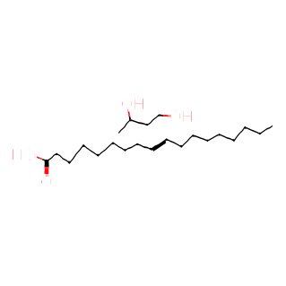 CC(O)CCO.CCCCCCCCC=CCCCCCCCC(=O)O